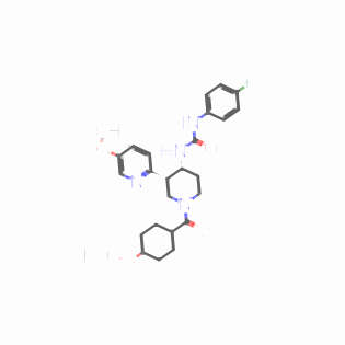 COc1ccc([C@@H]2CN(C(=O)C3CCC(OC)CC3)CC[C@H]2NC(=O)Nc2ccc(Cl)cc2)nc1